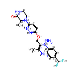 C/C(N)=C(\COc1ccc(N2CCNC(=O)C2C)nn1)N(N)c1ccc(C(F)F)cc1